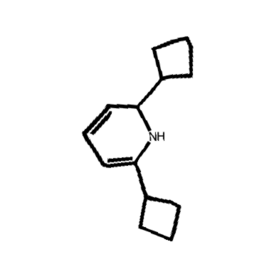 C1=C[C](C2CCC2)NC(C2CCC2)=C1